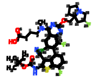 CN(CCCC(=O)O)c1nc(OC[C@@]23CCCN2C[C@H](F)C3)nc2c(F)c(-c3ccc(F)c4sc(NC(=O)OC(C)(C)C)c(C#N)c34)c(Cl)cc12